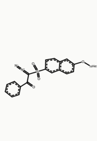 CCCCCCOc1ccc2cc(S(=O)(=O)C(=[N+]=[N-])C(=O)c3ccccc3)ccc2c1